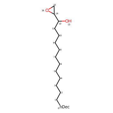 CCCCCCCCCCCCCCCCCCCCCC(O)C1CO1